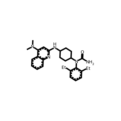 CCc1cccc(CC)c1N(C(N)=O)C1CCC(Nc2cc(N(C)C)c3ccccc3n2)CC1